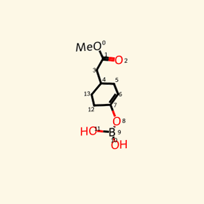 COC(=O)CC1CC=C(OB(O)O)CC1